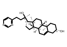 C[C@]12CC[C@H]3[C@@H](CC=C4C[C@@H](O)CC[C@@]43C)[C@@H]1CC[C@@H]2[C@](C)(O)CCc1ccncn1